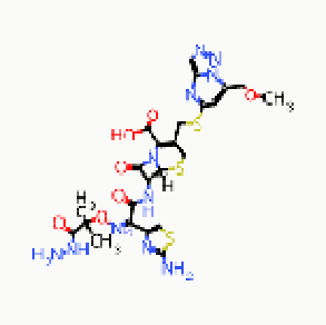 COCc1cc(SCC2=C(C(=O)O)N3C(=O)C(NC(=O)/C(=N\OC(C)(C)C(=O)NN)c4csc(N)n4)[C@H]3SC2)nc2cnnn12